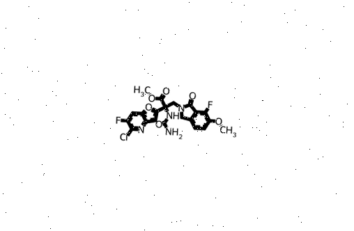 COC(=O)C(CN1Cc2ccc(OC)c(F)c2C1=O)(NC(N)=O)c1cc2nc(Cl)c(F)cc2o1